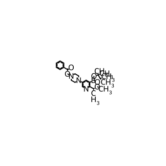 CO[C@@H](C)c1ncc(N2CCN(OC(=O)c3ccccc3)CC2)cc1B1OC(C)(C)C(C)(C)O1